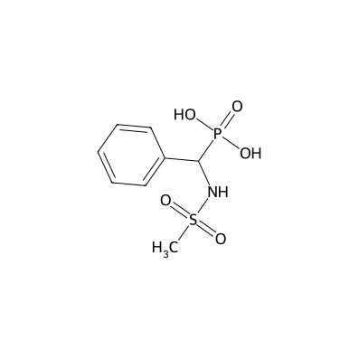 CS(=O)(=O)NC(c1ccccc1)P(=O)(O)O